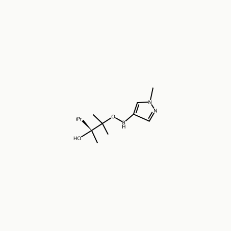 CC(C)[C@@](C)(O)C(C)(C)OBc1cnn(C)c1